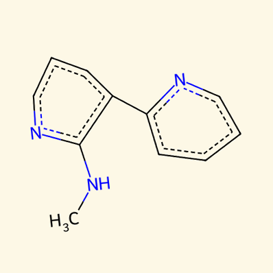 CNc1ncccc1-c1ccccn1